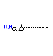 CCCCCCCCCCCCCCc1ccc(Cc2ccc(N)cc2)cc1C